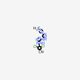 CN1CCN(c2cc(Nc3ncnc4nc(-c5c(Cl)cc(C#N)cc5Cl)[nH]c34)ncn2)CC1